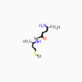 CCSCC[C@H](N[Se]C(=O)CC[C@H](N)C(=O)O)C(=O)O